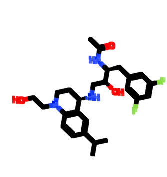 CC(=O)N[C@@H](Cc1cc(F)cc(F)c1)[C@@H](O)CN[C@H]1CCN(CCO)c2ccc(C(C)C)cc21